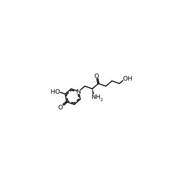 N[C@@H](Cn1ccc(=O)c(O)c1)C(=O)CCCO